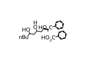 C=CCC(O)CC(O)CCCC.O=C(O)c1ccccc1.O=C(O)c1ccccc1